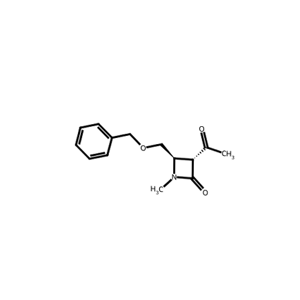 CC(=O)[C@@H]1C(=O)N(C)[C@H]1COCc1ccccc1